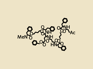 CNC(Cc1ccccc1)C(=O)OCCCCOC(=O)C(Cc1ccccc1)NC(=O)C(CCC(=O)OCc1ccccc1)NC(=O)CCC(=O)NC(Cc1ccccc1)C(=O)OCCCCOC(=O)C(Cc1ccccc1)NC(=O)CCC(C)=O